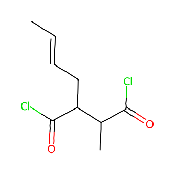 CC=CCC(C(=O)Cl)C(C)C(=O)Cl